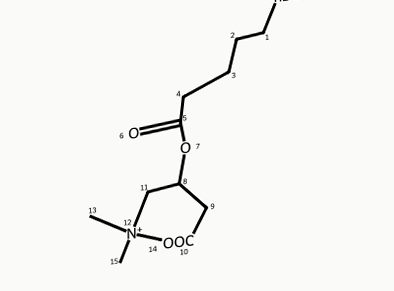 CCCCCCCCCCCCCCC(=O)OC(CC(=O)[O-])C[N+](C)(C)C